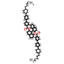 CCCCC1CCC(c2ccc(-c3ccc(C(=O)Oc4ccc5ccccc5c4-c4c(OC(=O)c5ccc(-c6ccc(C7CCC(CCCC)CC7)cc6)cc5)ccc5ccccc45)cc3)cc2)CC1